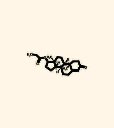 CCC(=O)OC1CC[C@H]2[C@@H]3CCC4=CC(=O)CC[C@]4(C)[C@@H]3CC[C@]12C